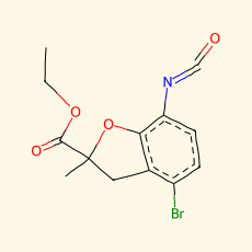 CCOC(=O)C1(C)Cc2c(Br)ccc(N=C=O)c2O1